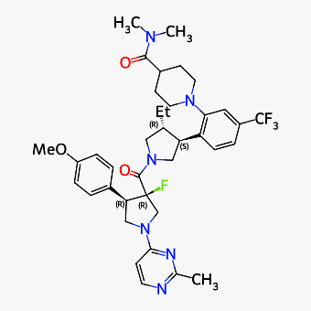 CC[C@H]1CN(C(=O)[C@]2(F)CN(c3ccnc(C)n3)C[C@H]2c2ccc(OC)cc2)C[C@@H]1c1ccc(C(F)(F)F)cc1N1CCC(C(=O)N(C)C)CC1